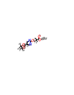 CC(C)(C)OC(=O)C(C)(C)COc1ncc(B2OC(C)(C)C(C)(C)O2)cn1